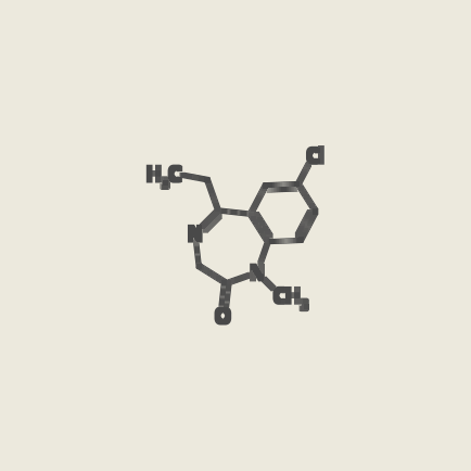 CCC1=NCC(=O)N(C)c2ccc(Cl)cc21